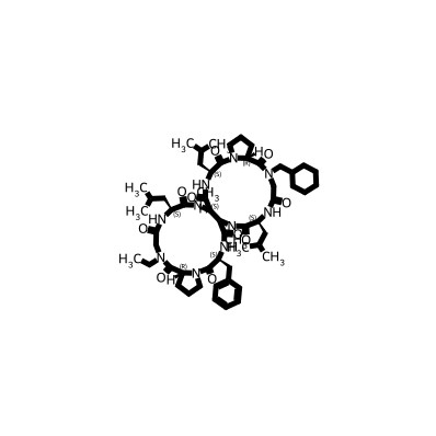 CCN1CC(=O)N[C@@H](CC(C)C)C(=O)N(C)[C@@H]2C(=O)N[C@@H](CC(C)C)C(=O)N3CCC[C@@H]3C(=O)N(CC3CCCCC3)CC(=O)N[C@@H](CC(C)C)C(=O)N(C)C2C(=O)N[C@@H](Cc2ccccc2)C(=O)N2CCC[C@@H]2C1=O